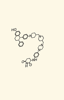 O=C1CCC(Nc2ccc(N3CCN(CC4CCN(CC5CCN(c6ccc([C@@H]7c8ccc(O)cc8CC[C@@H]7c7ccccc7)cc6)CC5)CC4)CC3)cc2)C(=O)N1